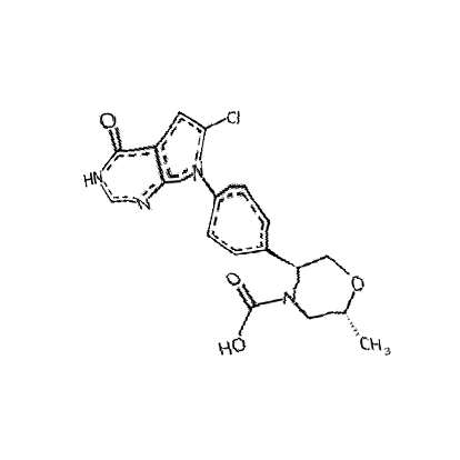 C[C@@H]1CN(C(=O)O)[C@@H](c2ccc(-n3c(Cl)cc4c(=O)[nH]cnc43)cc2)CO1